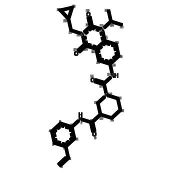 C=Cc1cccc(NC(=O)C2CCCN(C(=O)Nc3ccc4c(c3)c(=O)n(CC3CC3)c(=O)n4C(C)C)C2)c1